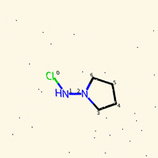 ClNN1CCCC1